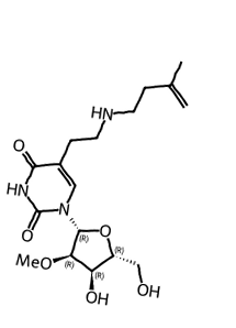 C=C(C)CCNCCc1cn([C@@H]2O[C@H](CO)[C@@H](O)[C@H]2OC)c(=O)[nH]c1=O